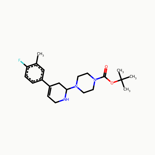 Cc1cc(C2=CCNC(N3CCN(C(=O)OC(C)(C)C)CC3)C2)ccc1F